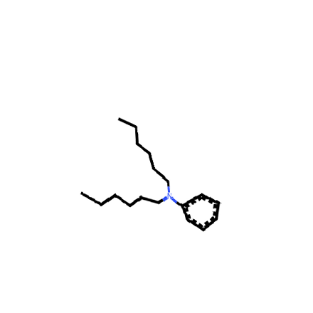 CCCCCCN(CCCCCC)c1c[c]ccc1